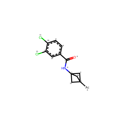 CC(=O)C12CC(NC(=O)c3ccc(Cl)c(Cl)c3)(C1)C2